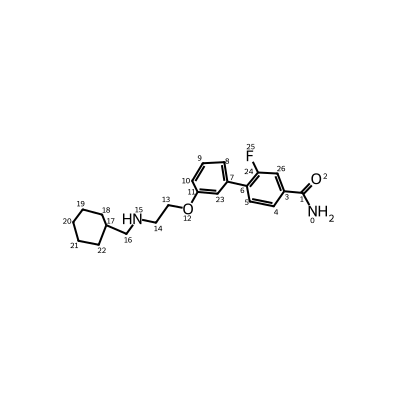 NC(=O)c1ccc(-c2cccc(OCCNCC3CCCCC3)c2)c(F)c1